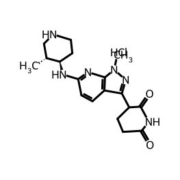 C[C@@H]1CNCC[C@H]1Nc1ccc2c(C3CCC(=O)NC3=O)nn(C)c2n1.Cl